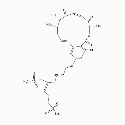 C[C@@H]1/C=C\C(=O)[C@@H](O)[C@@H](O)C/C=C/c2cc(OCCNC/C(=C\CCS(C)(=O)=O)CS(C)(=O)=O)cc(O)c2C(=O)O[C@H]1C